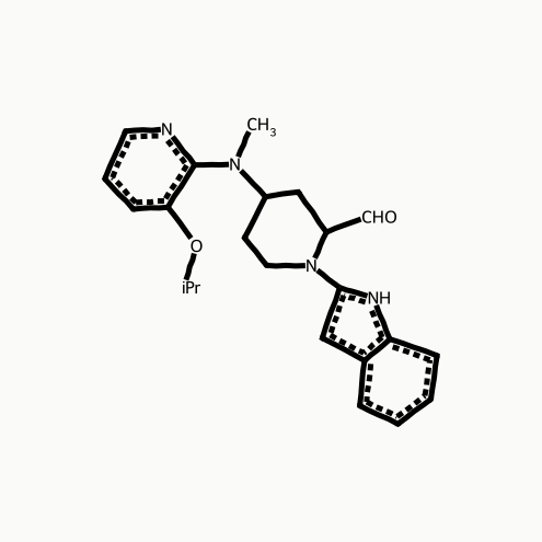 CC(C)Oc1cccnc1N(C)C1CCN(c2cc3ccccc3[nH]2)C(C=O)C1